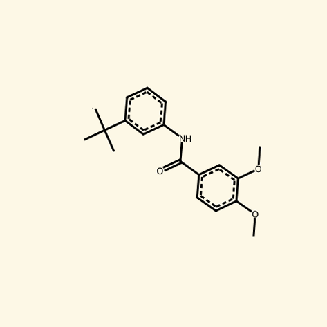 [CH2]C(C)(C)c1cccc(NC(=O)c2ccc(OC)c(OC)c2)c1